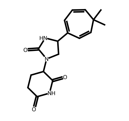 CC1(C)C=CC=C(C2CN(C3CCC(=O)NC3=O)C(=O)N2)C=C1